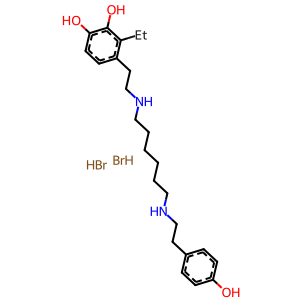 Br.Br.CCc1c(CCNCCCCCCNCCc2ccc(O)cc2)ccc(O)c1O